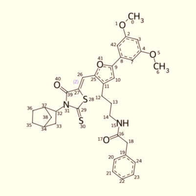 COc1cc(OC)cc(-c2cc(CCCNC(=O)Cc3ccccc3)c(/C=C3\SC(=S)N(C4CC5CCC4C5)C3=O)o2)c1